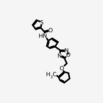 CC1=C(OCc2nc(-c3ccc(NC(=O)c4cccs4)cc3)no2)CCC=C1